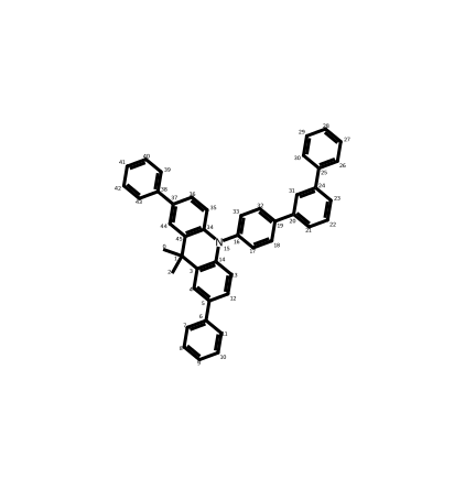 CC1(C)c2cc(-c3ccccc3)ccc2N(c2ccc(-c3cccc(-c4ccccc4)c3)cc2)c2ccc(-c3ccccc3)cc21